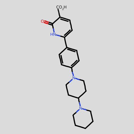 O=C(O)c1ccc(-c2ccc(N3CCC(N4CCCCC4)CC3)cc2)[nH]c1=O